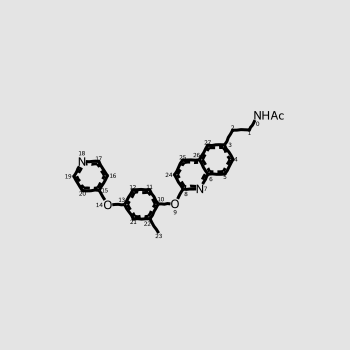 CC(=O)NCCc1ccc2nc(Oc3ccc(Oc4ccncc4)cc3C)ccc2c1